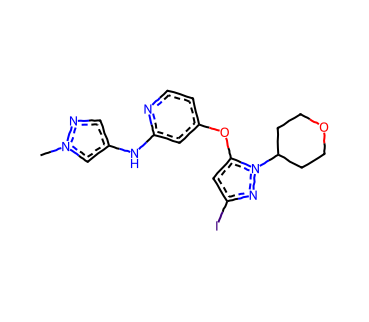 Cn1cc(Nc2cc(Oc3cc(I)nn3C3CCOCC3)ccn2)cn1